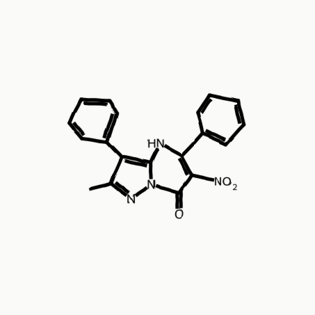 Cc1nn2c(=O)c([N+](=O)[O-])c(-c3ccccc3)[nH]c2c1-c1ccccc1